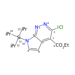 CCOC(=O)c1c(Cl)nnc2c1ccn2[Si](C(C)C)(C(C)C)C(C)C